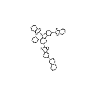 c1ccc(-n2c(-n3c4ccc(-c5nc6ccc(-c7ccc8ccccc8c7)cc6o5)cc4c4cc(-c5nc6ccccc6s5)ccc43)nc3ccccc32)cc1